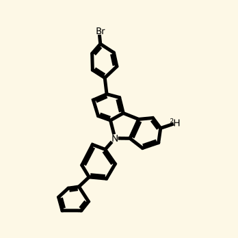 [2H]c1ccc2c(c1)c1cc(-c3ccc(Br)cc3)ccc1n2-c1ccc(-c2ccccc2)cc1